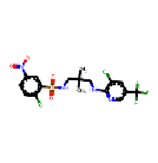 CC(C)(CNc1ncc(C(F)(F)F)cc1Cl)CNS(=O)(=O)c1cc([N+](=O)[O-])ccc1Cl